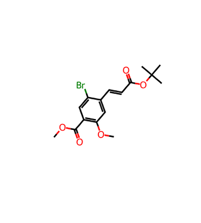 COC(=O)c1cc(Br)c(C=CC(=O)OC(C)(C)C)cc1OC